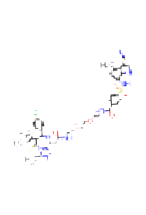 Cc1sc2c(c1C)C(c1ccc(Cl)cc1)=N[C@@H](CC(=O)NCCOCCOCCNC(=O)c1ccc(S(=O)(=O)Nc3ccc(C)c4c(C#N)c[nH]c34)cc1)c1nnc(C)n1-2